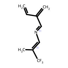 C=CC(=C)/C=N/C=C(\C)C(F)(F)F